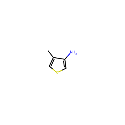 Cc1cscc1N